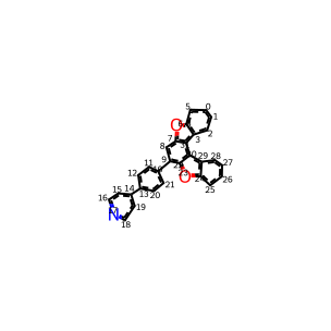 c1ccc2c(c1)oc1cc(-c3ccc(-c4ccncc4)cc3)c3oc4ccccc4c3c12